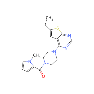 CCc1cc2c(N3CCN(C(=O)c4cccn4C)CC3)ncnc2s1